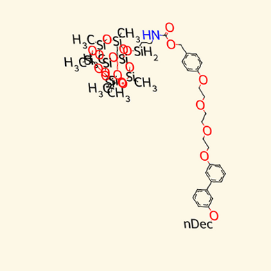 CCCCCCCCCCOc1cccc(-c2cccc(OCCOCCOCCOc3ccc(COC(=O)NCC[SiH2]O[Si]45O[Si]6(C)O[Si]7(C)O[Si]8(C)O[Si](C)(O6)O[Si](C)(O[Si](C)(O8)O[Si](C)(O7)O4)O5)cc3)c2)c1